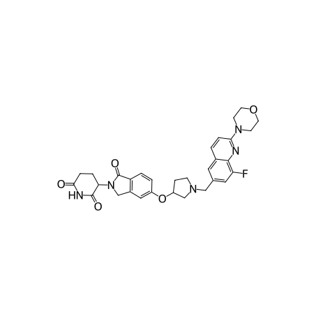 O=C1CCC(N2Cc3cc(OC4CCN(Cc5cc(F)c6nc(N7CCOCC7)ccc6c5)C4)ccc3C2=O)C(=O)N1